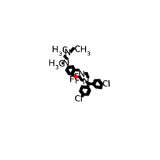 CCCN(C)CCN(C)c1ccc(C(F)(F)F)c(CN2CCN(C(c3ccc(Cl)cc3)c3ccc(Cl)cc3)CC2)c1